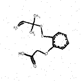 C=CC(C)(C)OOc1ccccc1OCC(=O)O